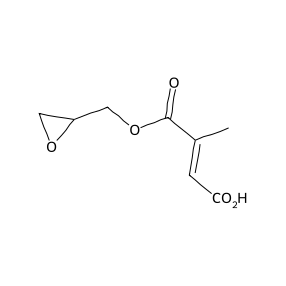 CC(=CC(=O)O)C(=O)OCC1CO1